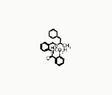 CC(CC1CCCCC1)N(Cc1ccccc1NC(=O)c1ccccc1F)C(=O)O